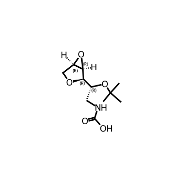 CC(C)(C)O[C@H](CNC(=O)O)[C@H]1OC[C@H]2O[C@@H]12